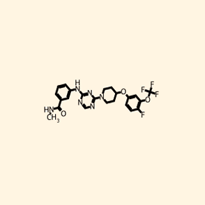 CNC(=O)c1cccc(Nc2ncnc(N3CCC(Oc4ccc(F)c(OC(F)(F)F)c4)CC3)n2)c1